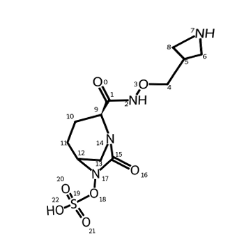 O=C(NOCC1CNC1)[C@@H]1CCC2CN1C(=O)N2OS(=O)(=O)O